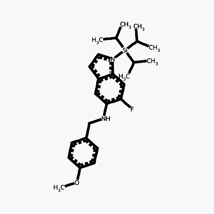 COc1ccc(CNc2cc3ccn([Si](C(C)C)(C(C)C)C(C)C)c3cc2F)cc1